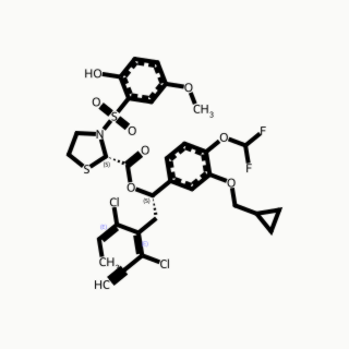 C#C/C(Cl)=C(C[C@H](OC(=O)[C@@H]1SCCN1S(=O)(=O)c1cc(OC)ccc1O)c1ccc(OC(F)F)c(OCC2CC2)c1)\C(Cl)=C/C